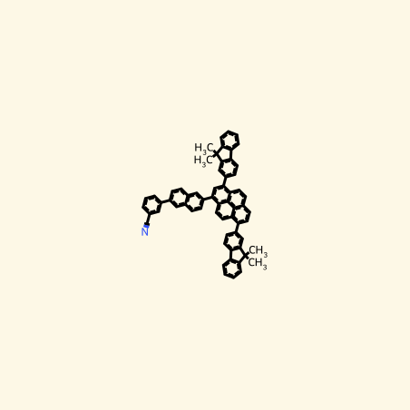 CC1(C)c2ccccc2-c2ccc(-c3ccc4ccc5c(-c6ccc7c(c6)C(C)(C)c6ccccc6-7)cc(-c6ccc7cc(-c8cccc(C#N)c8)ccc7c6)c6ccc3c4c56)cc21